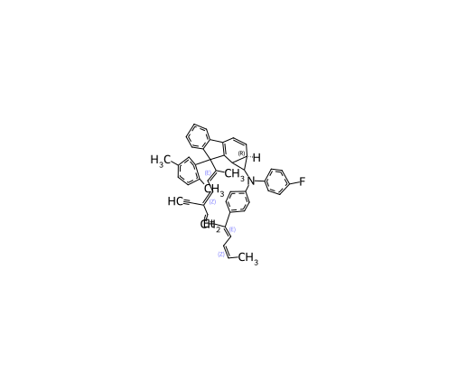 C#C/C(C=C)=C\C=C(/C)C1(c2cc(C)ccc2C)C2=C(C=C[C@@H]3C2C3N(c2ccc(F)cc2)c2ccc(/C(=C/C=C\C)CC)cc2)c2ccccc21